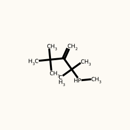 C=C(C(C)(C)C)C(C)(C)PC